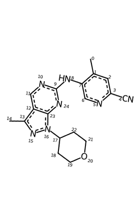 Cc1cc(C#N)ncc1Nc1ncc2c(C)nn(C3CCOCC3)c2n1